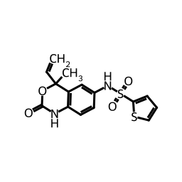 C=CC1(C)OC(=O)Nc2ccc(NS(=O)(=O)c3cccs3)cc21